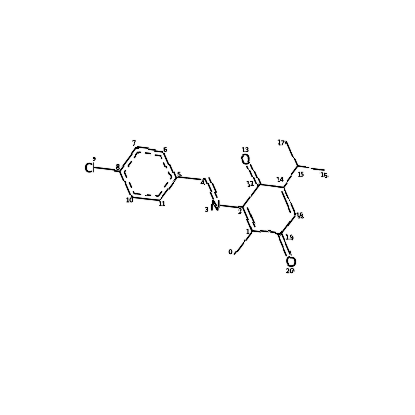 CC1=C(/N=C/c2ccc(Cl)cc2)C(=O)C(C(C)C)=CC1=O